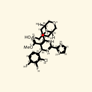 COC(=O)C1=C(CN2[C@@H]3COC[C@H]2CC(CC(=O)O)C3)NC(c2nccs2)=N[C@H]1c1ccc(F)c(F)c1Cl